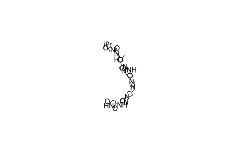 Cc1cc(-c2ccnc(Nc3ccc(N4CCN(CC5CCN(c6ccc(NC7CCC(=O)NC7=O)cn6)CC5)CC4)cc3)n2)ccc1CNC(=O)N1CC(OC(C)C)C1